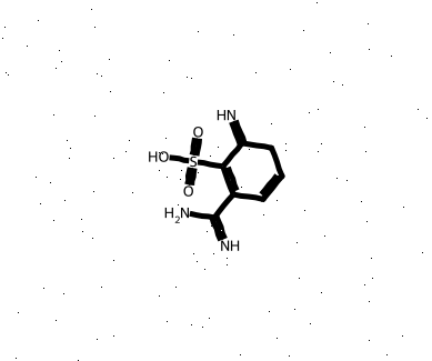 N=C(N)C1=C(S(=O)(=O)O)C(=N)CC=C1